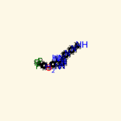 N=C(c1ccc(Oc2ccc(C(F)(F)F)cc2)cc1)c1c(N)ncnc1NC1CCN(C2CCN(C3CNC3)CC2)CC1